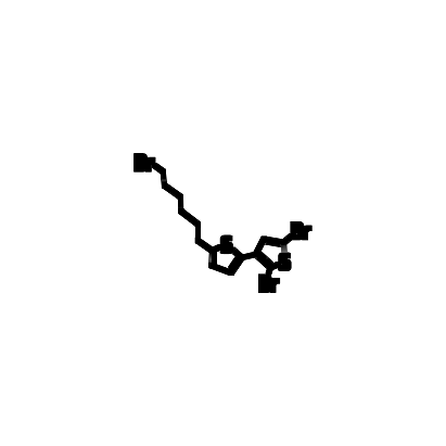 BrCCCCCCc1ccc(-c2cc(Br)sc2Br)s1